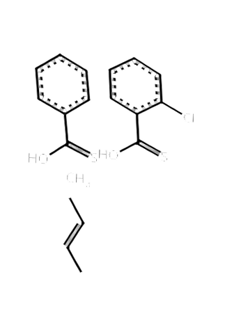 C.CC=CC.OC(=S)c1ccccc1.OC(=S)c1ccccc1Cl